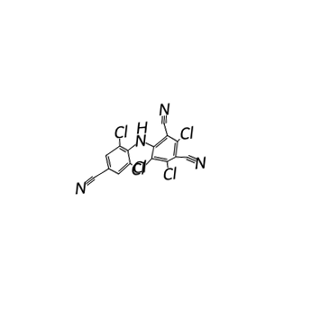 N#Cc1cc(Cl)c(Nc2c(Cl)c(Cl)c(C#N)c(Cl)c2C#N)c(Cl)c1